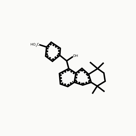 CC1(C)CCC(C)(C)c2cc3c(C(O)c4ccc(C(=O)O)cc4)cccc3cc21